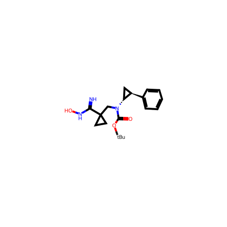 CC(C)(C)OC(=O)N(CC1(C(=N)NO)CC1)[C@@H]1C[C@H]1c1ccccc1